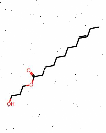 CC/C=C/CCCCCCCC(=O)OCCCO